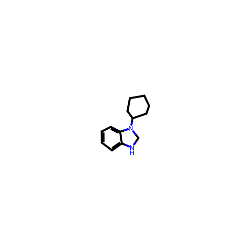 c1ccc2c(c1)NCN2C1CCCCC1